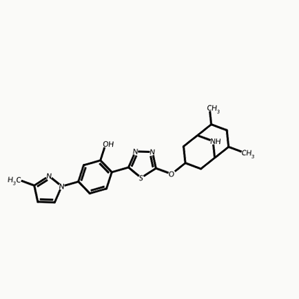 Cc1ccn(-c2ccc(-c3nnc(OC4CC5NC(C4)C(C)CC5C)s3)c(O)c2)n1